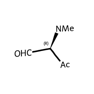 CN[C@H](C=O)C(C)=O